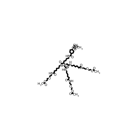 COP(C)(=O)OC1CCC(C(=O)NCCCCC(C(=O)NCCCCCC(=O)NCCOCCOC(C)=O)N(CC(=O)NCCCCCC(=O)NCCOCCOC(C)=O)CC(=O)NCCCCCC(=O)NCCOCCOC(C)=O)CC1